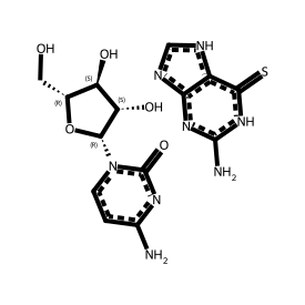 Nc1ccn([C@@H]2O[C@H](CO)[C@@H](O)[C@@H]2O)c(=O)n1.Nc1nc2nc[nH]c2c(=S)[nH]1